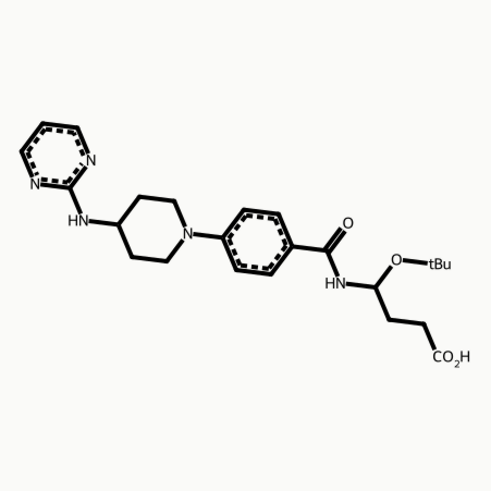 CC(C)(C)OC(CCC(=O)O)NC(=O)c1ccc(N2CCC(Nc3ncccn3)CC2)cc1